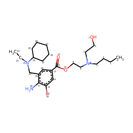 CCCCN(CCO)CCOC(=O)c1cc(Br)c(N)c(CN(CC)C2CCCCC2)c1